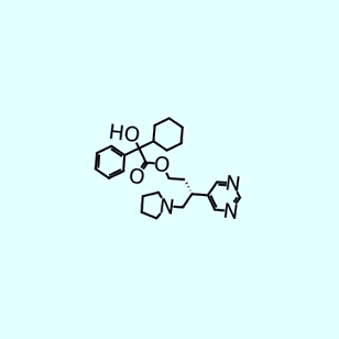 O=C(OCC[C@@H](CN1CCCC1)c1cncnc1)C(O)(c1ccccc1)C1CCCCC1